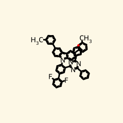 Cc1cccc(-c2ccc3c(c2)c2cc(-c4cccc(C)c4)ccc2n3-c2ccc(-c3c(F)cccc3F)cc2-c2nc(-c3ccccc3)nc(-c3ccccc3)n2)c1